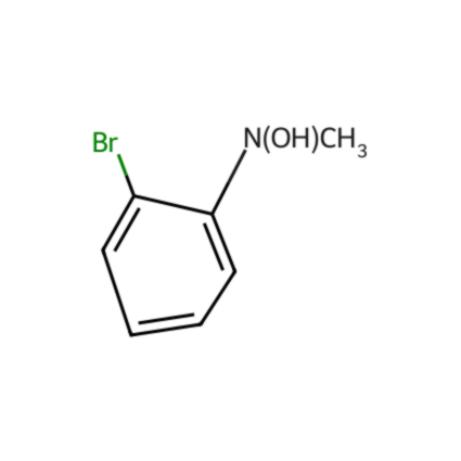 CN(O)c1ccccc1Br